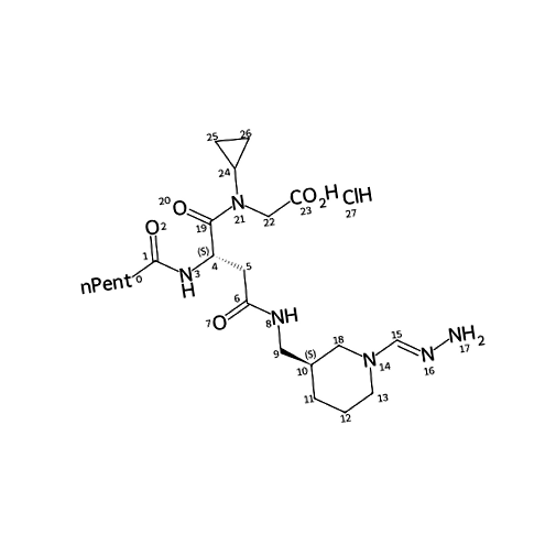 CCCCCC(=O)N[C@@H](CC(=O)NC[C@@H]1CCCN(C=NN)C1)C(=O)N(CC(=O)O)C1CC1.Cl